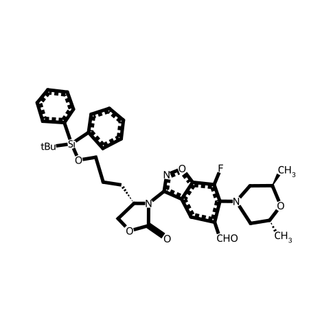 C[C@@H]1CN(c2c(C=O)cc3c(N4C(=O)OC[C@@H]4CCCO[Si](c4ccccc4)(c4ccccc4)C(C)(C)C)noc3c2F)C[C@@H](C)O1